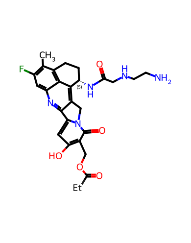 CCC(=O)OCc1c(O)cc2n(c1=O)Cc1c-2nc2cc(F)c(C)c3c2c1[C@@H](NC(=O)CNCCN)CC3